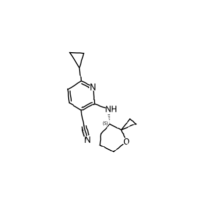 N#Cc1ccc(C2CC2)nc1N[C@H]1CCCOC12CC2